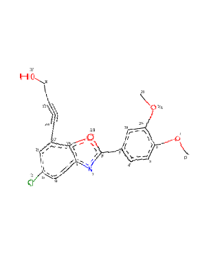 COc1ccc(-c2nc3cc(Cl)cc(C#CCO)c3o2)cc1OC